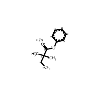 CC(C)(CC(F)(F)F)C(=O)Oc1ccccc1.[Zn]